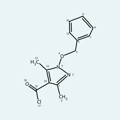 Cc1nn(OCc2ccccc2)c(C)c1C(=O)Cl